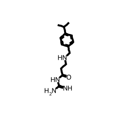 CC(C)c1ccc(CNCCC(=O)NC(=N)N)cc1